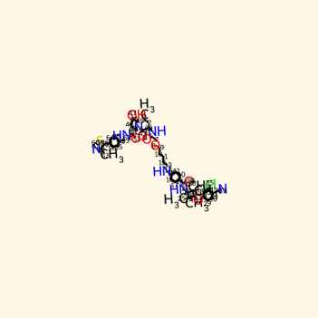 CCC[C@H](NC(=O)COCCCCCNc1ccc(C(=O)N[C@H]2C(C)(C)[C@H](Oc3ccc(C#N)c(Cl)c3)C2(C)C)cc1)C(=O)N1C[C@H](O)C[C@H]1C(=O)NCc1ccc(-c2scnc2C)cc1